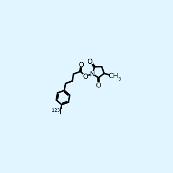 CC1CC(=O)N(OC(=O)CCCc2ccc([123I])cc2)C1=O